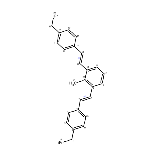 CC(C)Cc1ccc(/C=C/c2cccc(/C=C/c3ccc(CC(C)C)cc3)[n+]2C)cc1